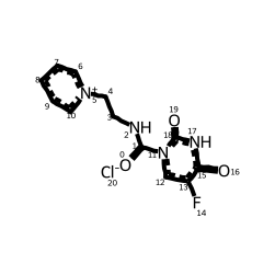 O=C(NCC[n+]1ccccc1)n1cc(F)c(=O)[nH]c1=O.[Cl-]